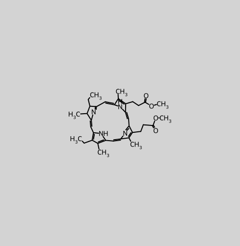 CCc1c(C)c2cc3nc(cc4[nH]c(cc5nc(cc1[nH]2)C(C)C5CC)c(C)c4CCC(=O)OC)C(CCC(=O)OC)=C3C